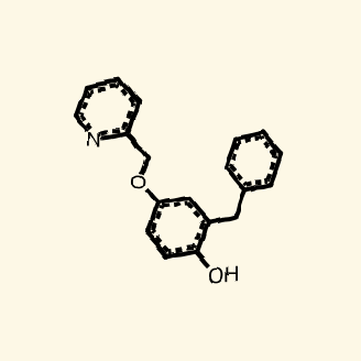 Oc1ccc(OCc2ccccn2)cc1Cc1ccccc1